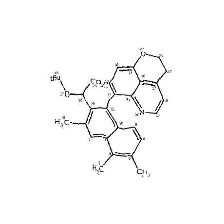 Cc1cc2c(C)c(C)ccc2c(-c2ccc3c4c(ccnc24)CCO3)c1C(OC(C)(C)C)C(=O)O